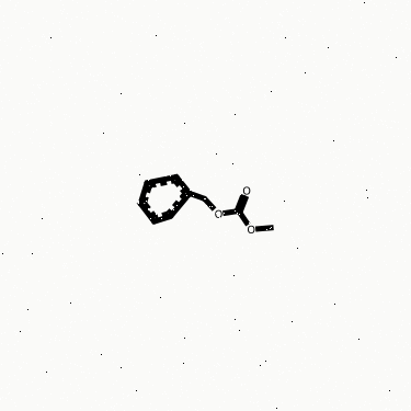 COC(=O)OCc1cc[c]cc1